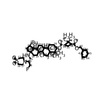 CCC(C)[C@@H]1CC[C@]2(NC[C@H](CF)N3CCS(=O)(=O)CC3)CC[C@]3(C)[C@H](CC[C@@H]4[C@@]5(C)CC[C@H](OC(=O)[C@H]6C[C@@H](C(=O)OCc7ccccc7)C6(C)C)C(C)(C)[C@@H]5CC[C@]43C)[C@@H]12